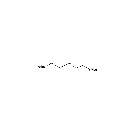 [CH]CCCCCCCCCCCCCCC[CH2]